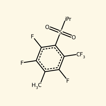 Cc1c(F)c(F)c(S(=O)(=O)C(C)C)c(C(F)(F)F)c1F